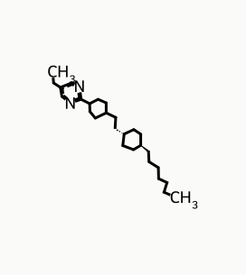 CCCCCCC[C@H]1CC[C@H](CCC2CCC(c3ncc(CC)cn3)CC2)CC1